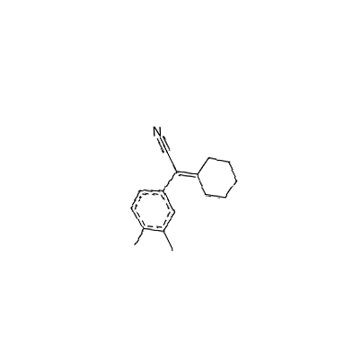 Cc1ccc(C(C#N)=C2CCCCC2)cc1C